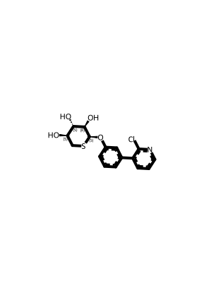 O[C@@H]1[C@@H](O)[C@@H](Oc2cccc(-c3cccnc3Cl)c2)SC[C@H]1O